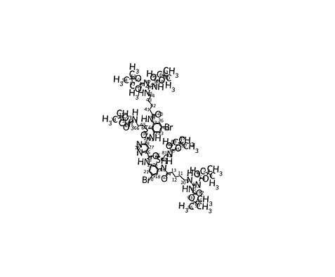 CC(C)(C)OC(=O)/N=C(\NCCCCC(=O)Nc1cc(Br)cc(NC(=O)c2cc(C(=O)Nc3cc(Br)cc(NC(=O)CCCCN/C(=N\C(=O)OC(C)(C)C)NC(=O)OC(C)(C)C)c3SCCNC(=O)OC(C)(C)C)ncn2)c1SCCNC(=O)OC(C)(C)C)NC(=O)OC(C)(C)C